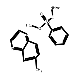 CC(=O)NO[As](=O)(OO)c1ccccc1.Cc1ccc2nccnc2c1